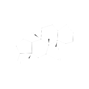 C[C@]12CCCCC1CC[C@H]1[C@@H]3CCC(O)[C@@]3(C)CC(O)[C@]12F